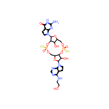 Nc1nc2c(ccn2C2OC3COP(=O)(S)OC4C(COP(=O)(S)OC2C3O)OC(n2ccc3c(NCCO)ncnc32)C4O)c(=O)[nH]1